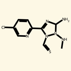 CNN1C(N)N=C(c2ccc(Cl)cn2)N1C=S